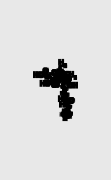 CCC1(CC)C(=O)N(C(CCCCNC(=O)NCc2ccccc2)C(=O)O)C(=O)N([C@@H](CCC(=O)O)C(=O)O)C1=O